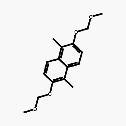 COCOc1ccc2c(C)c(OCOC)ccc2c1C